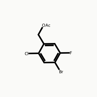 CC(=O)OCc1cc(F)c(Br)cc1Cl